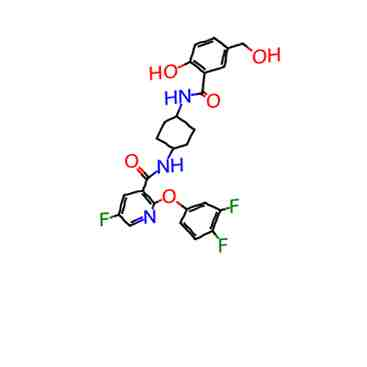 O=C(NC1CCC(NC(=O)c2cc(F)cnc2Oc2ccc(F)c(F)c2)CC1)c1cc(CO)ccc1O